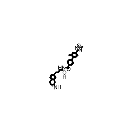 CN[C@H]1CCc2ccc(CCCC(O)NC(=O)c3ccc(-c4ccc(-c5noc(C)n5)cc4C)cc3)cc2C1